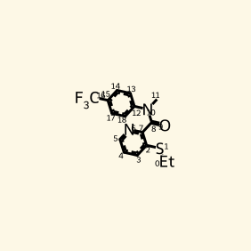 CCSc1cccnc1C(=O)N(C)c1ccc(C(F)(F)F)cc1